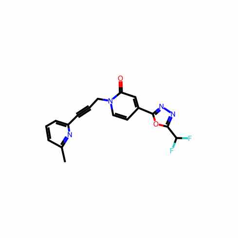 Cc1cccc(C#CCn2ccc(-c3nnc(C(F)F)o3)cc2=O)n1